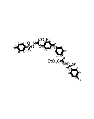 CCOC(=O)/C(=N/OS(=O)(=O)c1ccc(C)cc1)Sc1ccc(Sc2ccc(S/C(=N\OS(=O)(=O)c3ccc(C)cc3)C(=O)OCC)cc2)cc1